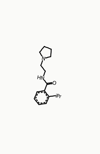 CC(C)c1ccccc1C(=O)NCCN1CCCC1